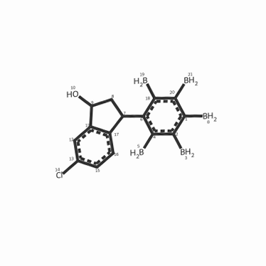 Bc1c(B)c(B)c(C2CC(O)c3cc(Cl)ccc32)c(B)c1B